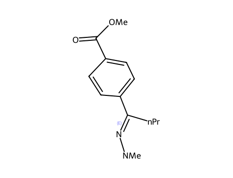 CCC/C(=N\NC)c1ccc(C(=O)OC)cc1